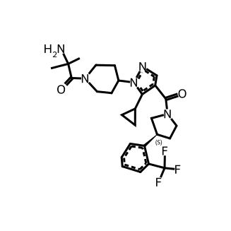 CC(C)(N)C(=O)N1CCC(n2ncc(C(=O)N3CC[C@@H](c4ccccc4C(F)(F)F)C3)c2C2CC2)CC1